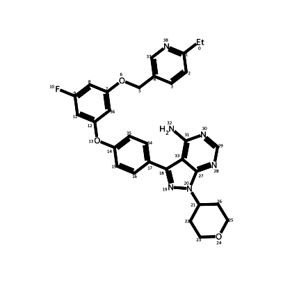 CCc1ccc(COc2cc(F)cc(Oc3ccc(-c4nn(C5CCOCC5)c5ncnc(N)c45)cc3)c2)cn1